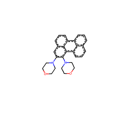 c1cc2cccc3c4c(N5CCOCC5)c(N5CCOCC5)cc5cccc(c(c1)c23)c54